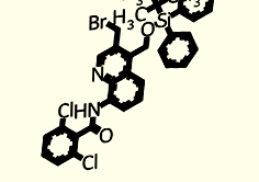 CC(C)(C)[Si](OCc1c(CBr)cnc2c(NC(=O)c3c(Cl)cccc3Cl)cccc12)(c1ccccc1)c1ccccc1